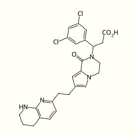 O=C(O)CC(c1cc(Cl)cc(Cl)c1)N1CCn2cc(CCc3ccc4c(n3)NCCC4)cc2C1=O